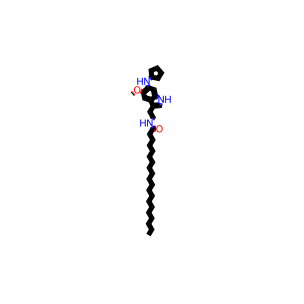 CCCCCCCCCCCCCCCCCCCC(=O)NCCc1c[nH]c2cc(NC3CCCC3)c(OC)cc12